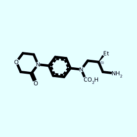 CC[C@@H](CN)CN(C(=O)O)c1ccc(N2CCOCC2=O)cc1